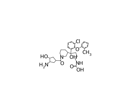 Cc1ccccc1Oc1c(Cl)cccc1C(O)(CCCNC(=O)O)C1CCCN(C(=O)C2CC(N)C(O)C2)C1